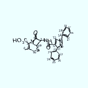 CC1=C(C(=O)O)N2C(=O)C(NC(=O)c3cn(-c4ccccc4)nc3-c3ccccc3)C2SC1